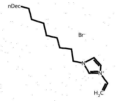 C=C[n+]1ccn(CCCCCCCCCCCCCCCCCC)c1.[Br-]